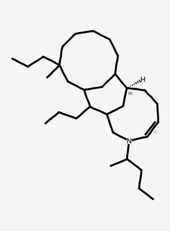 CCCC1C2C[C@H](CC/C=C\N(C(C)CCC)C2)C2CCCCCC(C)(CCC)CC1C2